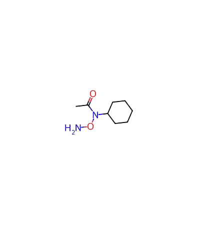 CC(=O)N(ON)C1CCCCC1